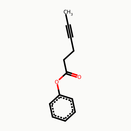 CC#CCCC(=O)Oc1ccccc1